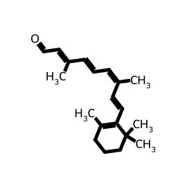 CC1=C(/C=C/C(C)=C\C=C\C(C)=C\C=O)C(C)(C)CCC1